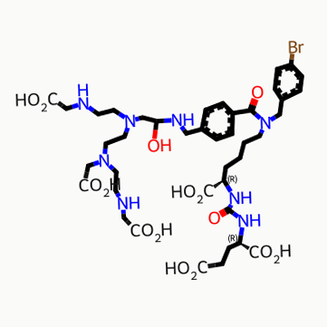 O=C(O)CC[C@@H](NC(=O)N[C@H](CCCCN(Cc1ccc(Br)cc1)C(=O)c1ccc(CNC(O)CN(CCNCC(=O)O)CCN(CCNCC(=O)O)CC(=O)O)cc1)C(=O)O)C(=O)O